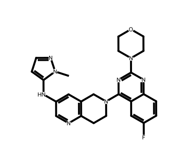 Cn1nccc1Nc1cnc2c(c1)CN(c1nc(N3CCOCC3)nc3ccc(F)cc13)CC2